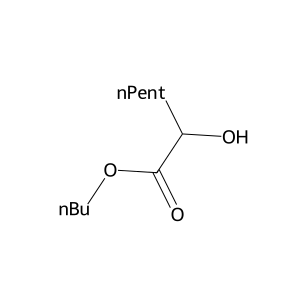 CCCCCC(O)C(=O)OCCCC